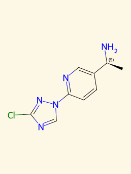 C[C@H](N)c1ccc(-n2cnc(Cl)n2)nc1